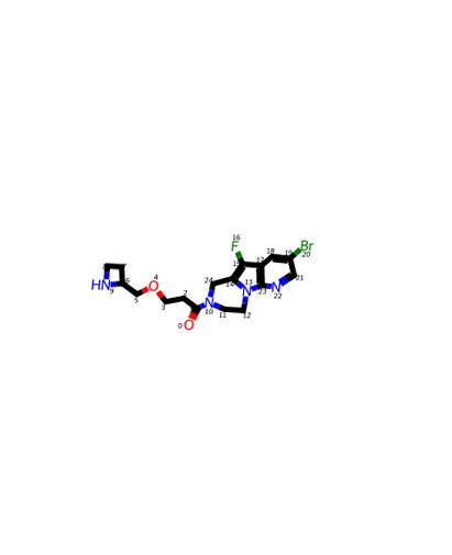 O=C(CCOCC1CCN1)N1CCn2c(c(F)c3cc(Br)cnc32)C1